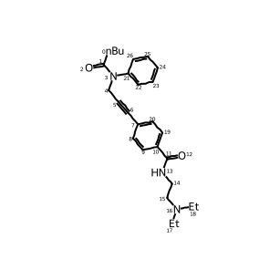 CCCCC(=O)N(CC#Cc1ccc(C(=O)NCCN(CC)CC)cc1)c1ccccc1